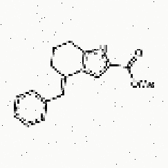 COC(=O)c1cc2c([nH]1)CCCC2=Cc1ccccc1